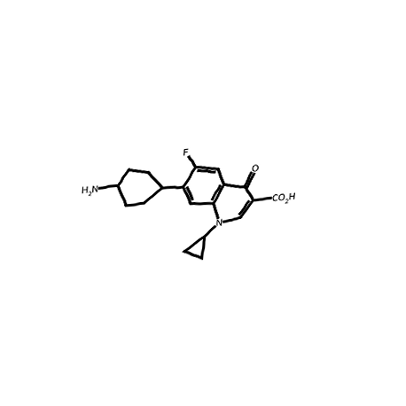 NC1CCC(c2cc3c(cc2F)c(=O)c(C(=O)O)cn3C2CC2)CC1